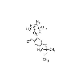 CCCC(C)(C)Oc1ccc(C=O)c(B2OC(C)(C)C(C)(C)O2)c1